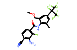 COCc1cc(C(F)(C(F)(F)F)C(F)(F)F)cc(C)c1NC(=O)c1ccc(C#N)c(N)c1F